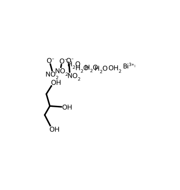 O.O.O.O.O.O=[N+]([O-])[O-].O=[N+]([O-])[O-].O=[N+]([O-])[O-].OCC(O)CO.[Bi+3]